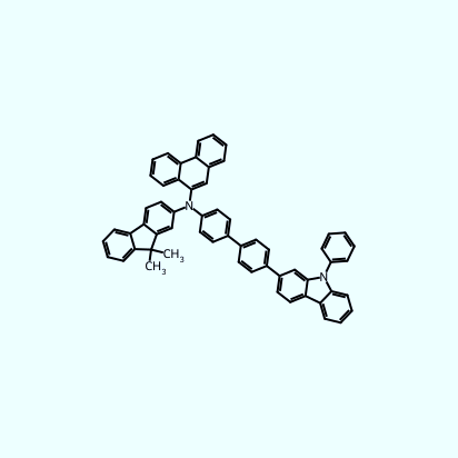 CC1(C)c2ccccc2-c2ccc(N(c3ccc(-c4ccc(-c5ccc6c7ccccc7n(-c7ccccc7)c6c5)cc4)cc3)c3cc4ccccc4c4ccccc34)cc21